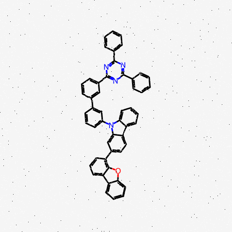 c1ccc(-c2nc(-c3ccccc3)nc(-c3cccc(-c4cccc(-n5c6ccccc6c6ccc(-c7cccc8c7oc7ccccc78)cc65)c4)c3)n2)cc1